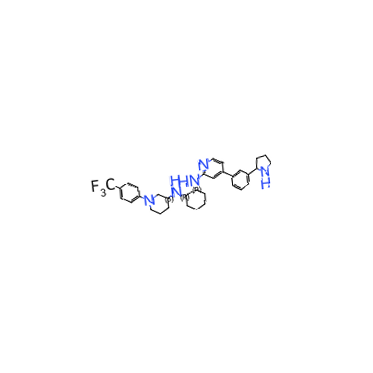 FC(F)(F)c1ccc(N2CCC[C@H](N[C@@H]3CCCC[C@H]3Nc3cc(-c4cccc(C5CCCN5)c4)ccn3)C2)cc1